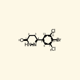 O=C1CCC(c2cc(Cl)c(Br)c(Cl)c2)=NN1